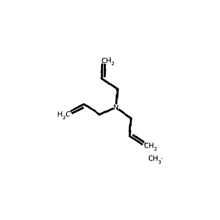 C=CCN(CC=C)CC=C.[CH3]